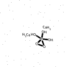 OP1(O)(O)OO1.[CaH2].[CaH2]